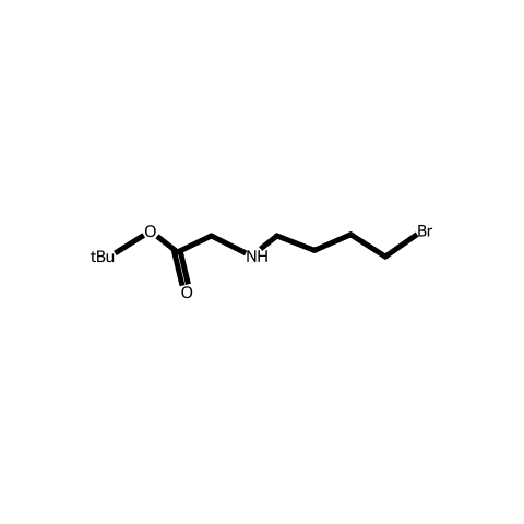 CC(C)(C)OC(=O)CNCCCCBr